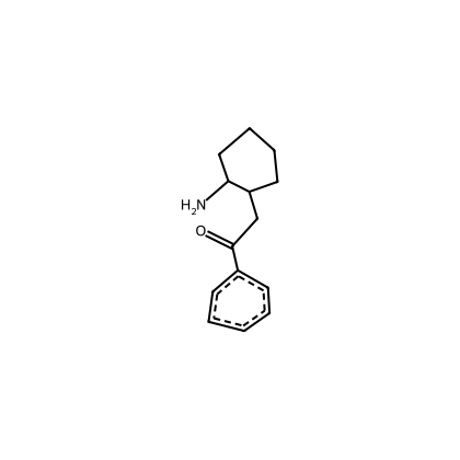 NC1CCCCC1CC(=O)c1ccccc1